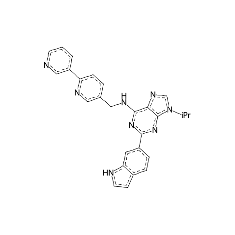 CC(C)n1cnc2c(NCc3ccc(-c4cccnc4)nc3)nc(-c3ccc4cc[nH]c4c3)nc21